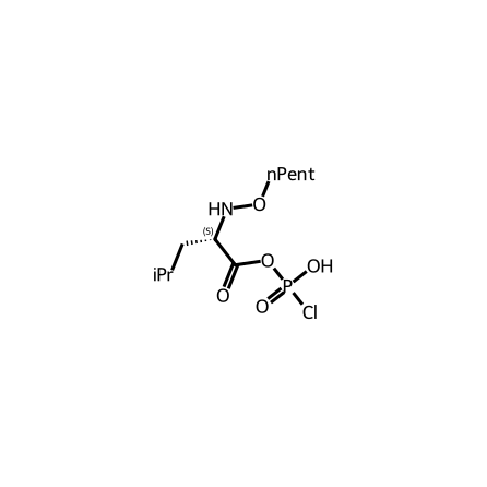 CCCCCON[C@@H](CC(C)C)C(=O)OP(=O)(O)Cl